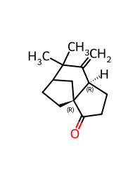 C=C1[C@H]2CCC(=O)[C@@]23CCC(C3)C1(C)C